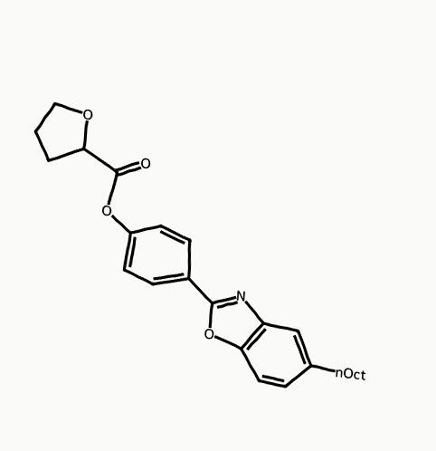 CCCCCCCCc1ccc2oc(-c3ccc(OC(=O)C4CCCO4)cc3)nc2c1